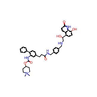 C[N+]1(C)CCC(OC(=O)Nc2cc(CCC(=O)NCc3ccc(CNC[C@@H](O)c4ccc(O)c5[nH]c(=O)ccc45)cc3)ccc2-c2ccccc2)CC1